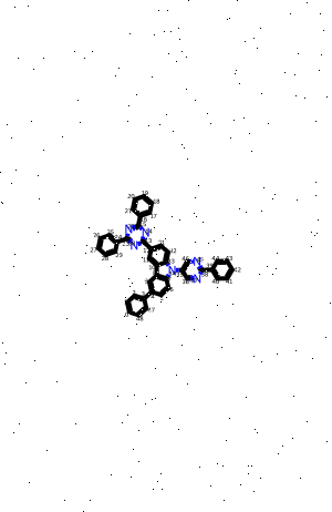 c1ccc(-c2ccc3c(c2)c2cc(-c4nc(-c5ccccc5)nc(-c5ccccc5)n4)ccc2n3-c2cnc(-c3ccccc3)nc2)cc1